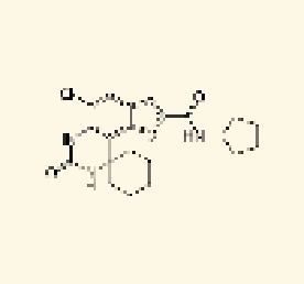 O=C1Nc2c(Cl)cc3cc(C(=O)NC4CCCC4)oc3c2C2(CCCCC2)N1